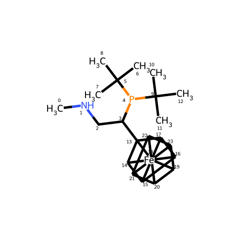 CNCC(P(C(C)(C)C)C(C)(C)C)[C]12[CH]3[CH]4[CH]5[CH]1[Fe]45321678[CH]2[CH]1[CH]6[CH]7[CH]28